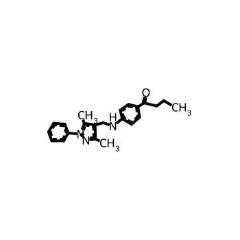 CCCC(=O)c1ccc(NCc2c(C)nn(-c3ccccc3)c2C)cc1